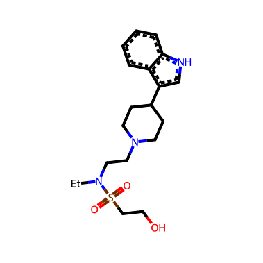 CCN(CCN1CCC(c2c[nH]c3ccccc23)CC1)S(=O)(=O)CCO